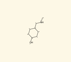 CNCC1CCC(O)CC1